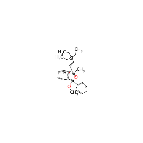 CC[Si](C=C[Si](C)(C)O[Si](OC)(c1ccccc1)c1ccccc1)(CC)CC